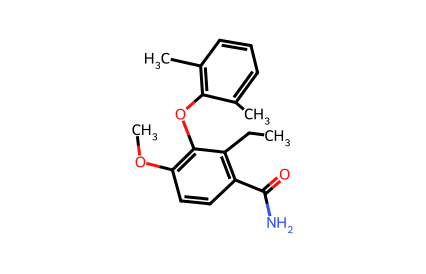 CCc1c(C(N)=O)ccc(OC)c1Oc1c(C)cccc1C